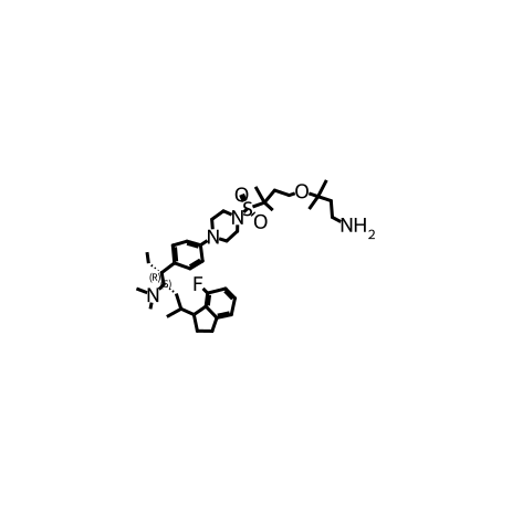 CC[C@H](c1ccc(N2CCN(S(=O)(=O)C(C)(C)CCOC(C)(C)CCN)CC2)cc1)[C@H](CC(C)C1CCc2cccc(F)c21)N(C)C